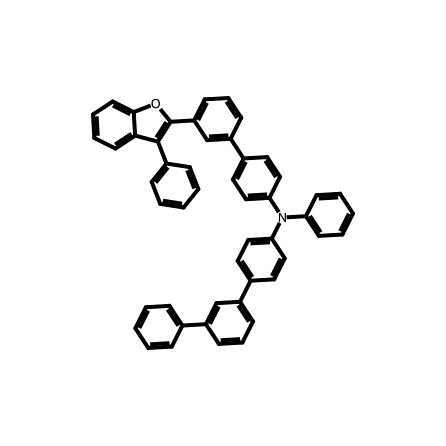 c1ccc(-c2cccc(-c3ccc(N(c4ccccc4)c4ccc(-c5cccc(-c6oc7ccccc7c6-c6ccccc6)c5)cc4)cc3)c2)cc1